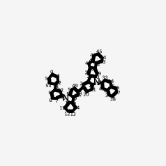 c1ccc(-c2cccc(-n3c4ccccc4c4cc(-c5ccc6c(c5)c5cc7c(cc5n6-c5ccc6ccccc6c5)-c5ccccc5C7)ccc43)c2)cc1